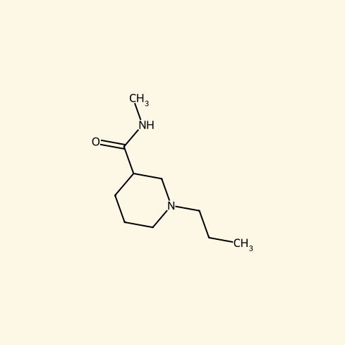 CCCN1CCCC(C(=O)NC)C1